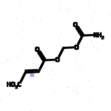 NC(=O)OCOC(=O)/C=C/C(=O)O